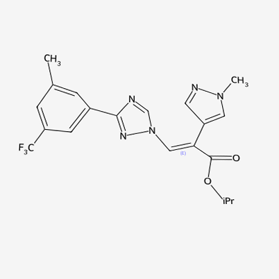 Cc1cc(-c2ncn(/C=C(/C(=O)OC(C)C)c3cnn(C)c3)n2)cc(C(F)(F)F)c1